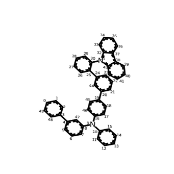 c1ccc(-c2cccc(N(c3ccccc3)c3ccc(-c4cccc(-c5ccccc5-n5c6ccccc6c6ccccc65)c4)cc3)c2)cc1